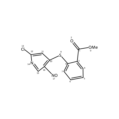 COC(=O)c1ccccc1Sc1cc(Cl)ncc1N=O